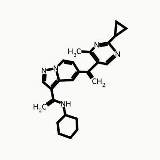 C=C(c1ccn2ncc(C(=C)NC3CCCCC3)c2c1)c1cnc(C2CC2)nc1C